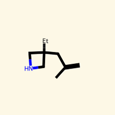 C=C(C)CC1(CC)CNC1